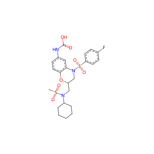 CS(=O)(=O)N(CC1CN(S(=O)(=O)c2ccc(F)cc2)c2cc(NC(=O)O)ccc2O1)C1CCCCC1